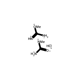 CNC(N)=O.COC(=N)N.Cl